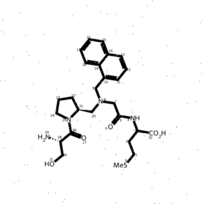 CSCCC(NC(=O)CN(Cc1cccc2ccccc12)C[C@@H]1CCCN1C(=O)[C@@H](N)CO)C(=O)O